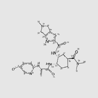 C=C(Nc1ccc(Cl)cn1)C(=O)N[C@H]1CC[C@H](C(=O)N(C)C)C[C@H]1NC(=O)c1nc2c(s1)CN(C)C2